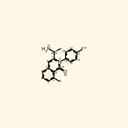 Cc1cccc2cc([C@H](C)N)n(-c3ccc(F)cc3)c(=O)c12